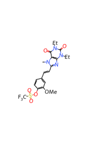 CCn1c(=O)c2c(nc(/C=C/c3ccc(OS(=O)(=O)C(F)(F)F)c(OC)c3)n2C)n(CC)c1=O